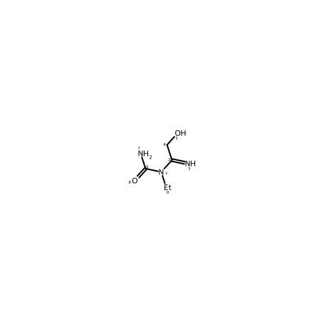 CCN(C(=N)CO)C(N)=O